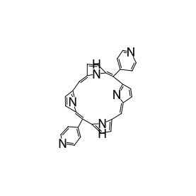 C1=Cc2nc1cc1ccc([nH]1)c(-c1ccncc1)c1nc(cc3ccc([nH]3)c2-c2ccncc2)C=C1